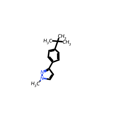 Cn1ccc(-c2ccc(C(C)(C)C)cc2)n1